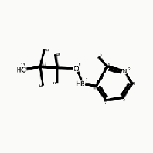 Cc1ncccc1BOC(C)(C)C(C)(C)O